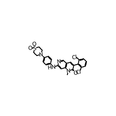 Cn1c(=O)c(-c2c(Cl)cccc2Cl)cc2cnc(Nc3ccc(N4CCS(=O)(=O)CC4)cc3)cc21